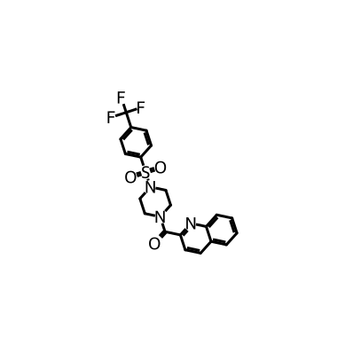 O=C(c1ccc2ccccc2n1)N1CCN(S(=O)(=O)c2ccc(C(F)(F)F)cc2)CC1